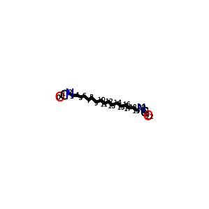 O=C=NCCCCCCCCCCCCCCCCCN=C=O